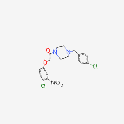 O=C(COc1ccc(Cl)c([N+](=O)[O-])c1)N1CCN(Cc2ccc(Cl)cc2)CC1